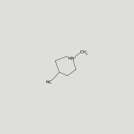 [CH2-][NH+]1CCC(C#N)CC1